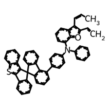 C=Cc1oc2c(N(c3ccccc3)c3ccc(-c4cccc5c4-c4ccccc4C54c5ccccc5-c5sc6ccccc6c54)cc3)cccc2c1/C=C\C